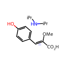 CC(C)NC(C)C.CO/C(=C\c1ccc(O)cc1)C(=O)O